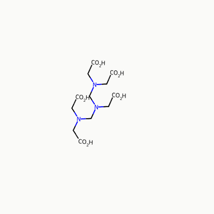 O=C(O)CN(CC(=O)O)CN(CC(=O)O)CN(CC(=O)O)CC(=O)O